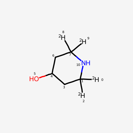 [2H]C1([2H])CC(O)CC([2H])([2H])N1